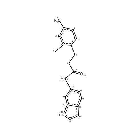 Cc1nc(C(F)(F)F)ccc1CCC(=O)Nc1ccc2cc[nH]c2c1